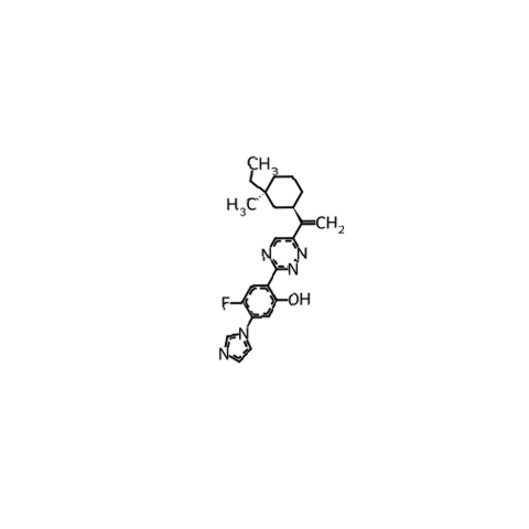 C=C(c1cnc(-c2cc(F)c(-n3ccnc3)cc2O)nn1)[C@@H]1CCC[C@](C)(CC)C1